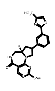 CSc1ncc2c(n1)N1CC(c3cccc(-c4nc(C(=O)O)co4)c3)C[C@H]1CNC2=O